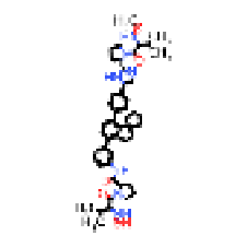 CON[C@H](C(=O)N1CCC[C@H]1C1=NCC(c2ccc(-c3ccc(-c4cccc(NC(=O)C5CCCN5C(=O)C(NO)C(C)C)c4)c4c3C3(CCCC3)CC4)cc2)N1)C(C)C